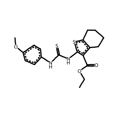 CCOC(=O)c1c(NC(=S)Nc2ccc(OC)cc2)sc2c1CCCC2